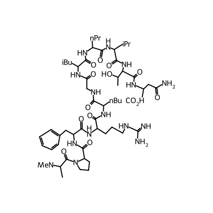 CCCCC(NC(=O)C(CCCNC(=N)N)NC(=O)C(Cc1ccccc1)NC(=O)C1CCCN1C(=O)C(C)NC)C(=O)NCC(=O)NC(C(=O)NC(CCC)C(=O)NC(C(=O)NC(C(=O)NC(CC(N)=O)C(=O)O)C(C)O)C(C)C)C(C)CC